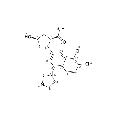 O=C(O)[C@@H]1C[C@H](O)CN1c1cc(-n2ccnc2)c2ccc(Cl)c(Cl)c2c1